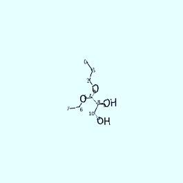 CCCO[C@@H](OCC)[C@@H](O)CO